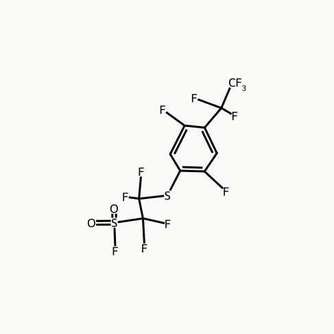 O=S(=O)(F)C(F)(F)C(F)(F)Sc1cc(F)c(C(F)(F)C(F)(F)F)cc1F